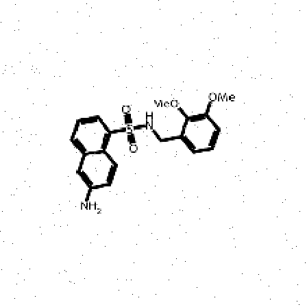 COc1cccc(CNS(=O)(=O)c2cccc3cc(N)ccc23)c1OC